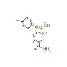 Cc1ccc(Oc2ccc(C(C)N)cn2)cc1.Cl.Cl